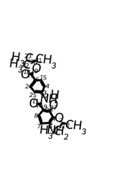 CC(C)Oc1c(N)ccc(C(=O)Nc2ccc(C(=O)OC(C)(C)C)cc2)c1O